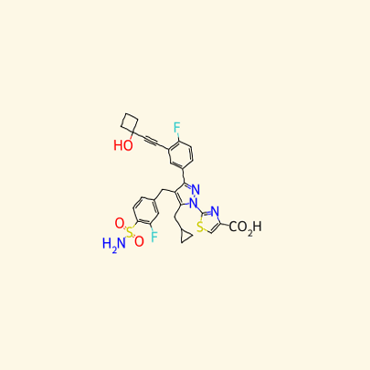 NS(=O)(=O)c1ccc(Cc2c(-c3ccc(F)c(C#CC4(O)CCC4)c3)nn(-c3nc(C(=O)O)cs3)c2CC2CC2)cc1F